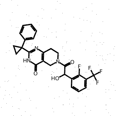 O=C(C(O)c1cccc(C(F)(F)F)c1F)N1CCc2nc(C3(c4ccccc4)CC3)[nH]c(=O)c2C1